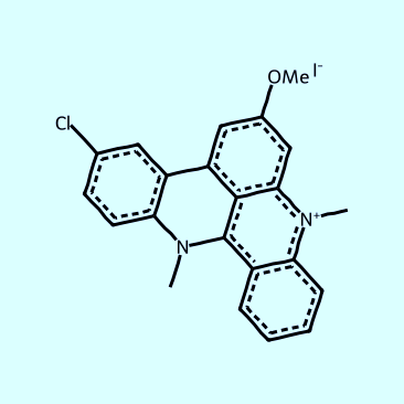 COc1cc2c3c(c4ccccc4[n+](C)c3c1)N(C)c1ccc(Cl)cc1-2.[I-]